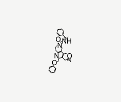 C[C@H](NC(=O)N1CCc2nc(COc3ccccc3)c3c(c2C1)CO[C@@H](C)C3)c1ccccc1